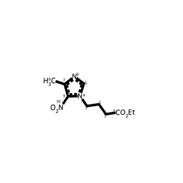 CCOC(=O)CCCn1cnc(C)c1[N+](=O)[O-]